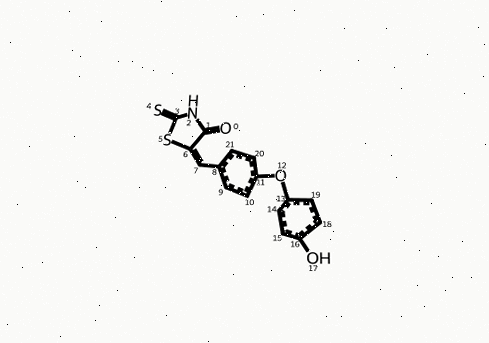 O=C1NC(=S)S/C1=C/c1ccc(Oc2ccc(O)cc2)cc1